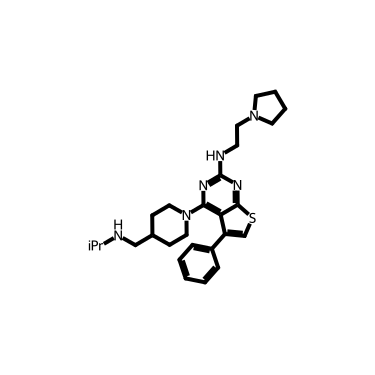 CC(C)NCC1CCN(c2nc(NCCN3CCCC3)nc3scc(-c4ccccc4)c23)CC1